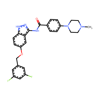 CN1CCN(c2ccc(C(=O)Nc3n[nH]c4ccc(OCc5cc(F)cc(F)c5)cc34)cc2)CC1